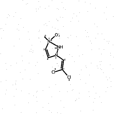 C[N+]1([O-])C=CN(C=C(Cl)Cl)N1